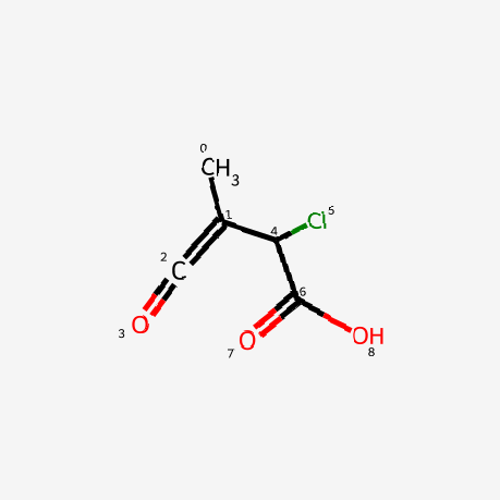 CC(=C=O)C(Cl)C(=O)O